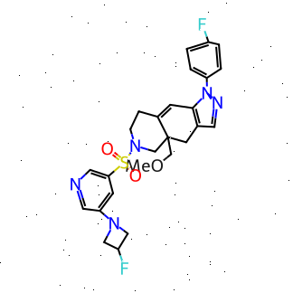 COCC12Cc3cnn(-c4ccc(F)cc4)c3C=C1CCN(S(=O)(=O)c1cncc(N3CC(F)C3)c1)C2